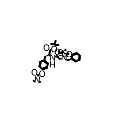 CN(C)C(=O)Oc1ccc(C[C@H](NC(=O)CN(Cc2ccccc2)S(C)(=O)=O)C(=O)OC(C)(C)C)cc1